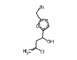 C=C(Cl)CC(O)c1ccc(CC(C)C)o1